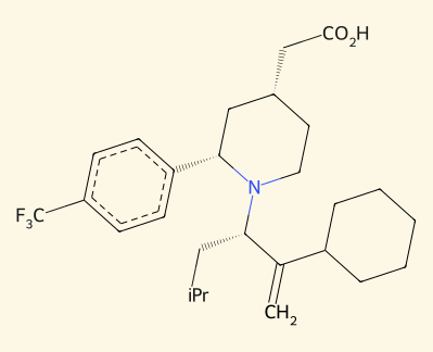 C=C(C1CCCCC1)[C@H](CC(C)C)N1CC[C@@H](CC(=O)O)C[C@H]1c1ccc(C(F)(F)F)cc1